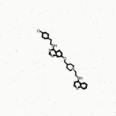 Clc1ccc(CCNc2ncnc3cc(OCC4CCN(CCNc5ccnc6ccccc56)CC4)ccc23)cc1